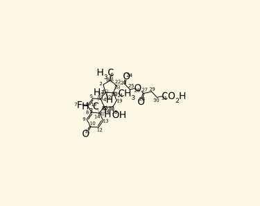 C[C@@H]1C[C@H]2[C@@H]3C=C(F)C4=CC(=O)C=C[C@]4(C)[C@H]3[C@@H](O)C[C@]2(C)[C@H]1C(=O)COC(=O)CCC(=O)O